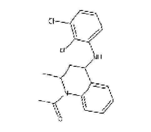 CC(=O)N1c2ccccc2C(Nc2cccc(Cl)c2Cl)CC1C